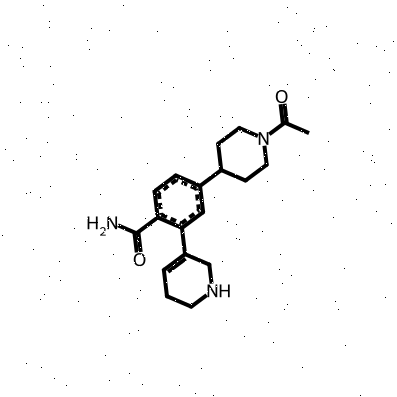 CC(=O)N1CCC(c2ccc(C(N)=O)c(C3=CCCNC3)c2)CC1